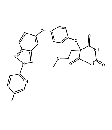 COCCC1(Oc2ccc(Oc3ccc4nn(-c5ccc(Cl)cn5)cc4c3)cc2)C(=O)NC(=O)NC1=O